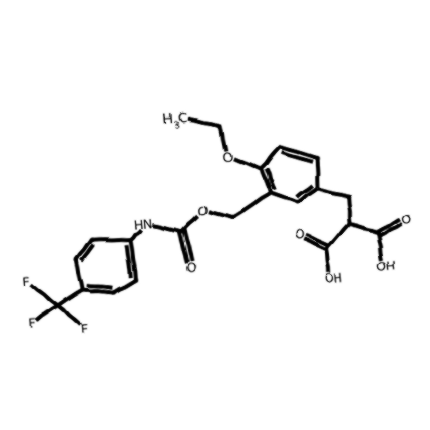 CCOc1ccc(CC(C(=O)O)C(=O)O)cc1COC(=O)Nc1ccc(C(F)(F)F)cc1